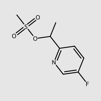 CC(OS(C)(=O)=O)c1ccc(F)cn1